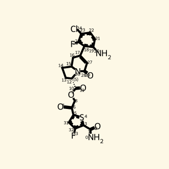 NC(=O)c1sc(C(=O)COC(=O)[C@@H]2CCC3CC(c4c(N)ccc(Cl)c4F)=CC(=O)N32)cc1F